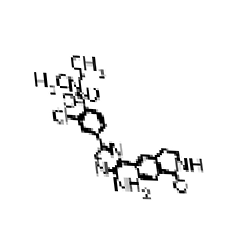 CCN(C)S(=O)(=O)c1ccc(-c2cnc(N)c(-c3ccc4c(c3)CCNC4=O)n2)cc1Cl